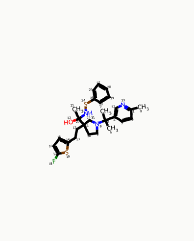 Cc1ccc(C(C)(C)N2CCC(CCc3ccc(F)s3)(C(C)(O)NSc3ccccc3)C2)cn1